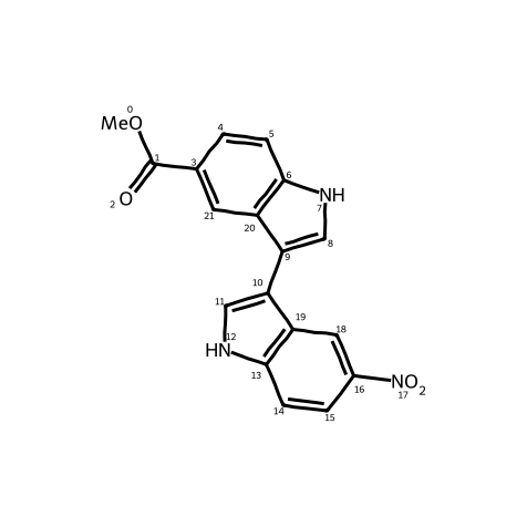 COC(=O)c1ccc2[nH]cc(-c3c[nH]c4ccc([N+](=O)[O-])cc34)c2c1